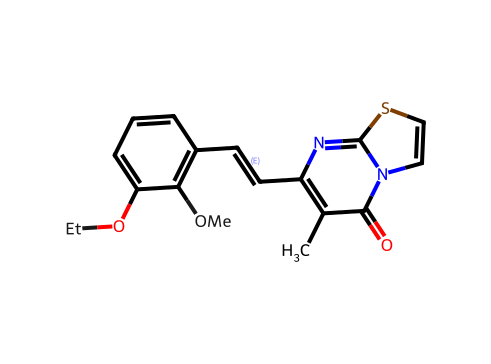 CCOc1cccc(/C=C/c2nc3sccn3c(=O)c2C)c1OC